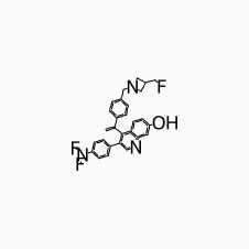 C=C(c1ccc(CN2CC(CF)C2)cc1)c1c(-c2ccc(N(F)F)cc2)cnc2cc(O)ccc12